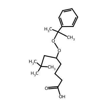 CC(C)(C)CC(CCCC(=O)O)OOC(C)(C)c1ccccc1